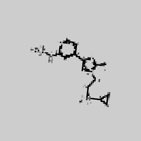 CCc1nc(-c2ccnc(NC(=O)O)c2)nn1CCN(C(C)=O)C1CC1